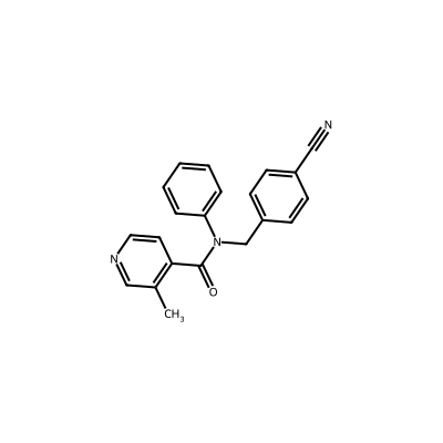 Cc1cnccc1C(=O)N(Cc1ccc(C#N)cc1)c1ccccc1